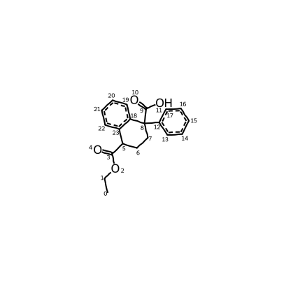 CCOC(=O)C1CCC(C(=O)O)(c2ccccc2)c2ccccc21